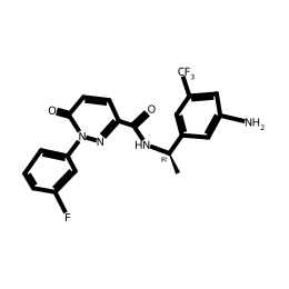 C[C@@H](NC(=O)c1ccc(=O)n(-c2cccc(F)c2)n1)c1cc(N)cc(C(F)(F)F)c1